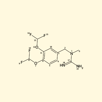 CN(Cc1ccc(OC(F)F)c(OC(F)F)c1)C(=N)N